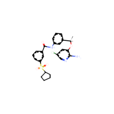 C[C@@H](Oc1cc(Cl)cnc1N)c1cccc(NC(=O)c2cccc(S(=O)(=O)C3CCCC3)c2)c1